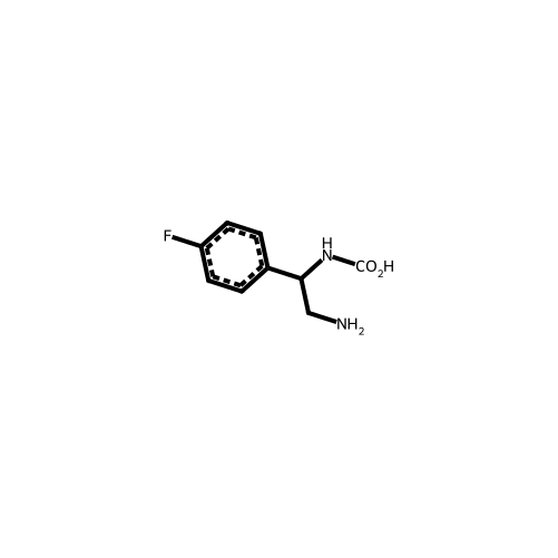 NCC(NC(=O)O)c1ccc(F)cc1